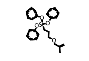 C=C(C)COCCC[Si](Oc1ccccc1)(Oc1ccccc1)Oc1ccccc1